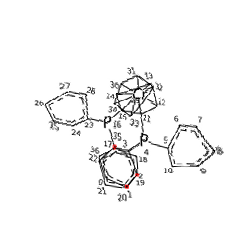 c1ccc(P(c2ccccc2)[C]23[CH]4[CH]5[CH]6[C]2(P(c2ccccc2)c2ccccc2)[Cr]54632789[CH]3[CH]2[CH]7[CH]8[CH]39)cc1